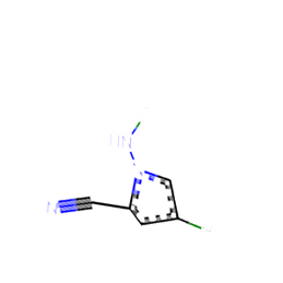 N#Cc1cc(Br)cn1NCl